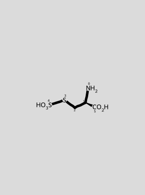 N[C@H](CSS(=O)(=O)O)C(=O)O